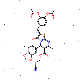 CC(=O)Oc1ccc(/C=c2\sc3n(c2=O)C(c2ccc4c(c2)OCO4)C(C(=O)OCCC#N)=C(C)N=3)cc1OC(C)=O